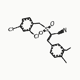 Cc1ccc(/C=C(\C#N)S(=O)(=O)Cc2ccc(Cl)cc2Cl)cc1C